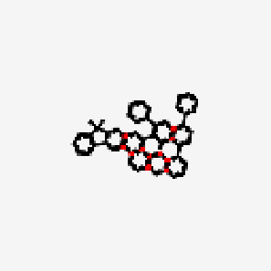 CC1(C)c2ccccc2-c2cc(-c3cccc(N(c4ccccc4-c4ccc(-c5ccccc5)cc4)c4cccc(-c5ccccc5)c4-c4ccccc4-c4ccccc4)c3)ccc21